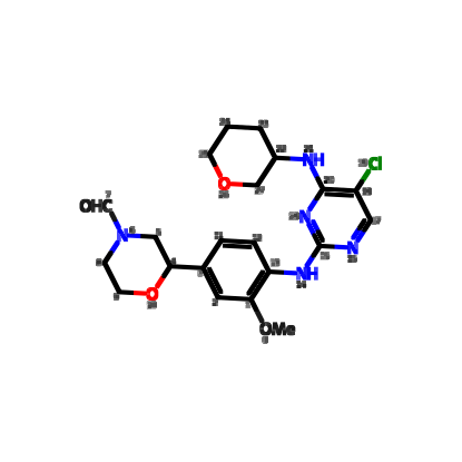 COc1cc(C2CN(C=O)CCO2)ccc1Nc1ncc(Cl)c(NC2CCCOC2)n1